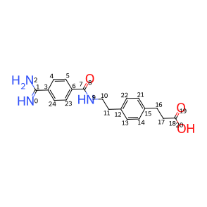 N=C(N)c1ccc(C(=O)NCCc2ccc(CCC(=O)O)cc2)cc1